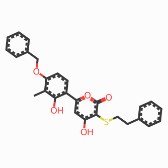 Cc1c(OCc2ccccc2)ccc(-c2cc(O)c(SCCc3ccccc3)c(=O)o2)c1O